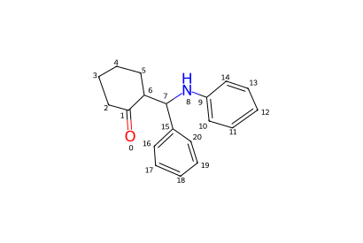 O=C1CCCCC1C(Nc1ccccc1)c1ccccc1